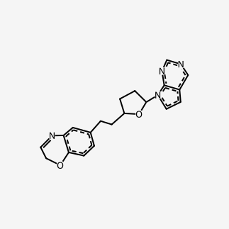 C1=Nc2cc(CCC3CCC(n4ccc5cncnc54)O3)ccc2OC1